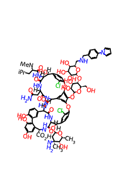 CN[C@H](CC(C)C)C(=O)N[C@H]1C(=O)N[C@@H](CC(N)=O)C(=O)N[C@H]2C(=O)N[C@H]3C(=O)N[C@H](C(=O)N[C@@H](C(=O)O)c4cc(O)cc(O)c4-c4cc3ccc4O)[C@H](OC3C[C@](C)(N)[C@@H](O)[C@H](C)O3)c3ccc(c(Cl)c3)Oc3cc2cc(c3O[C@@H]2O[C@H](CO)[C@@H](O[C@@H]3O[C@H](CNCc4ccc(-n5cccc5)cc4)[C@H](O)[C@H](O)[C@H]3O)[C@H](O)[C@H]2O)Oc2ccc(cc2Cl)[C@H]1O